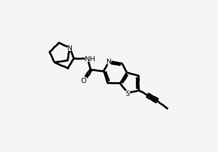 CC#Cc1cc2cnc(C(=O)NC3CC4CCN3C4)cc2s1